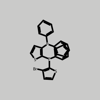 Brc1ccsc1P(c1ccccc1)c1sccc1P(c1ccccc1)c1ccccc1